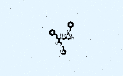 CC(C)C[C@@H](CNC(CCc1ccccc1)C(=O)CSCc1ccco1)NC(=O)OCc1ccccc1